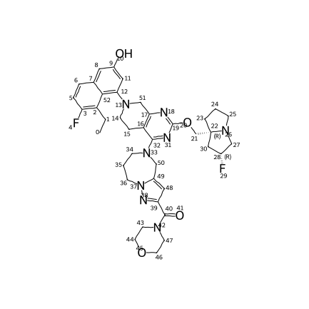 CCc1c(F)ccc2cc(O)cc(N3CCc4c(nc(OC[C@]56CCCN5C[C@H](F)C6)nc4N4CCCn5nc(C(=O)N6CCOCC6)cc5C4)C3)c12